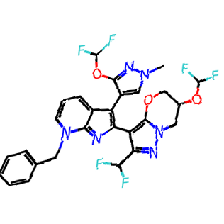 Cn1cc(-c2c3cccn(Cc4ccccc4)c-3nc2-c2c(C(F)F)nn3c2OC[C@@H](OC(F)F)C3)c(OC(F)F)n1